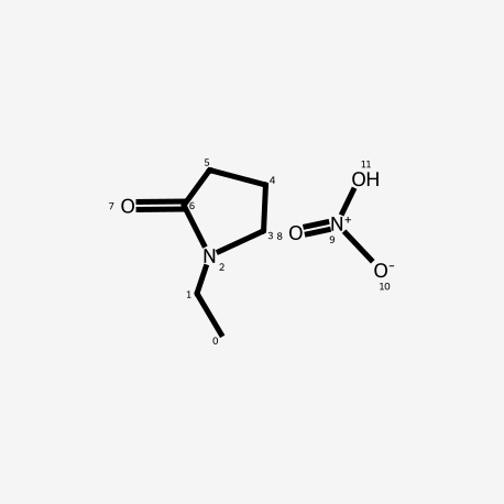 CCN1CCCC1=O.O=[N+]([O-])O